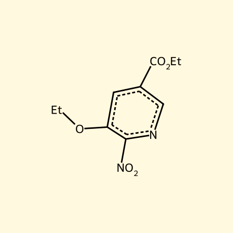 CCOC(=O)c1cnc([N+](=O)[O-])c(OCC)c1